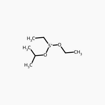 CCO[S+](CC)OC(C)C